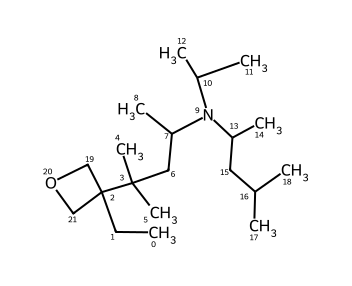 CCC1(C(C)(C)CC(C)N(C(C)C)C(C)CC(C)C)COC1